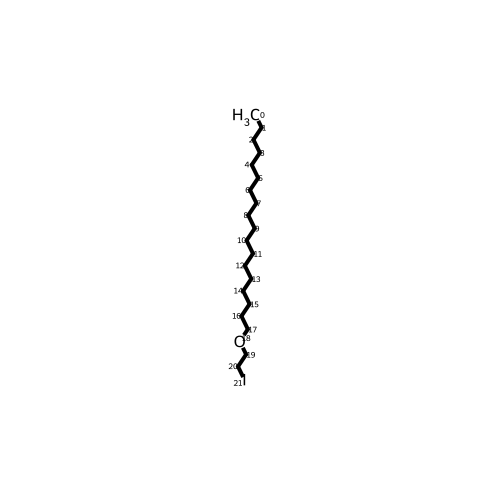 CCCCCCCCCCCCCCCCCCOCCI